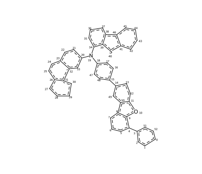 c1ccc(-c2cccc3c2oc2ccc(-c4ccc(N(c5ccc6ccc7ccccc7c6c5)c5cccc6c5sc5ccccc56)cc4)cc23)cc1